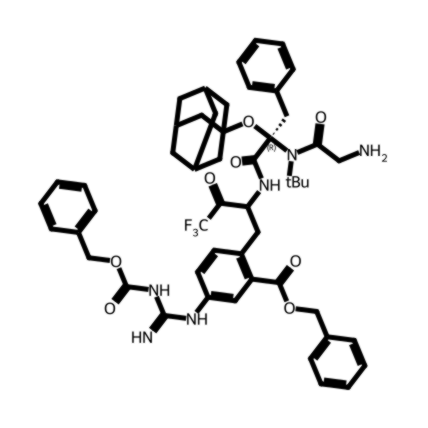 CC(C)(C)N(C(=O)CN)[C@](Cc1ccccc1)(OC12CC3CC(CC(C3)C1)C2)C(=O)NC(Cc1ccc(NC(=N)NC(=O)OCc2ccccc2)cc1C(=O)OCc1ccccc1)C(=O)C(F)(F)F